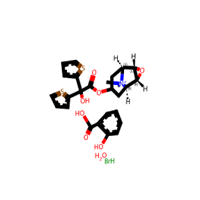 Br.C[N+]1(C)[C@@H]2CC(OC(=O)C(O)(c3cccs3)c3cccs3)C[C@H]1[C@@H]1O[C@@H]12.O.O=C(O)c1ccccc1O